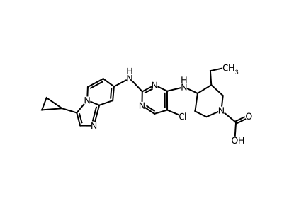 CCC1CN(C(=O)O)CCC1Nc1nc(Nc2ccn3c(C4CC4)cnc3c2)ncc1Cl